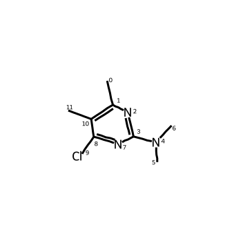 Cc1nc(N(C)C)nc(Cl)c1C